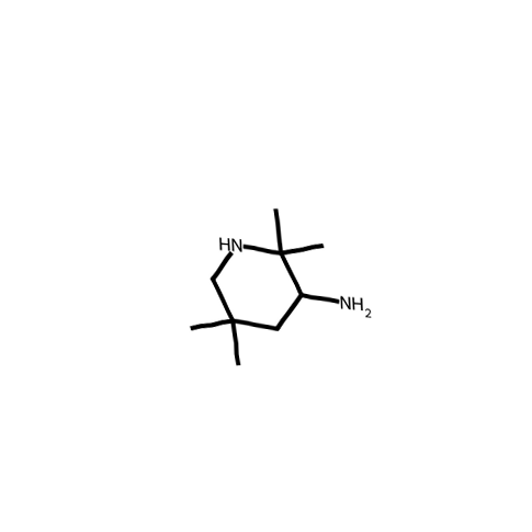 CC1(C)CNC(C)(C)C(N)C1